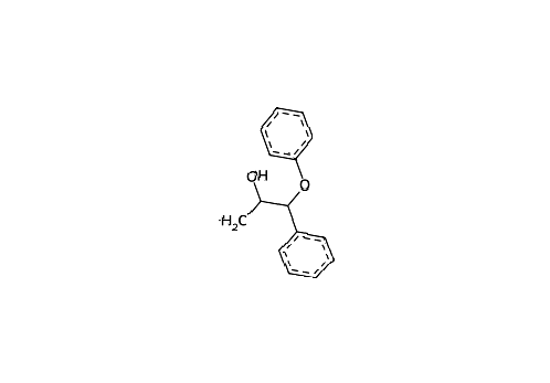 [CH2]C(O)C(Oc1ccccc1)c1ccccc1